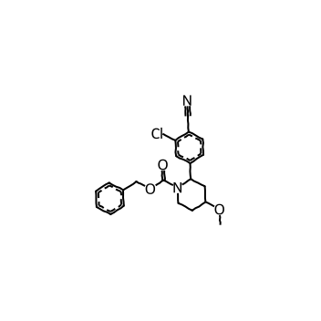 COC1CCN(C(=O)OCc2ccccc2)C(c2ccc(C#N)c(Cl)c2)C1